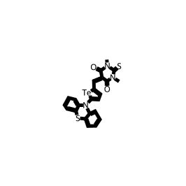 CN1C(=O)C(=Cc2ccc(N3c4ccccc4Sc4ccccc43)[te]2)C(=O)N(C)C1=S